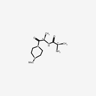 CSN1CCN(C(=O)[C@@H](C)NC(=O)[C@@H](C)N)CC1